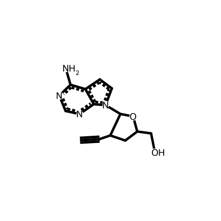 C#CC1CC(CO)OC1n1ccc2c(N)ncnc21